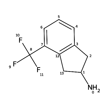 NC1Cc2cccc(C(F)(F)F)c2C1